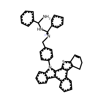 NC(N/C(=N\Cc1ccc(-n2c3ccccc3c3c4ccccc4c4c5c(sc4c32)C=CCC5)cc1)c1ccccc1)c1ccccc1